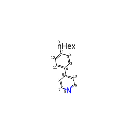 CCCCCCc1ccc(-c2ccncc2)cc1